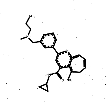 CN(CCN)Cc1cccc(-c2cc(C(=O)NC3CC3)c3c(n2)=CC=CCC=3N)c1